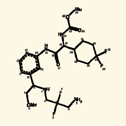 COCC(NCC(F)(F)CN)c1ccnc(NC(=O)[C@@H](NC(=O)OC(C)(C)C)C2CCC(F)(F)CC2)c1